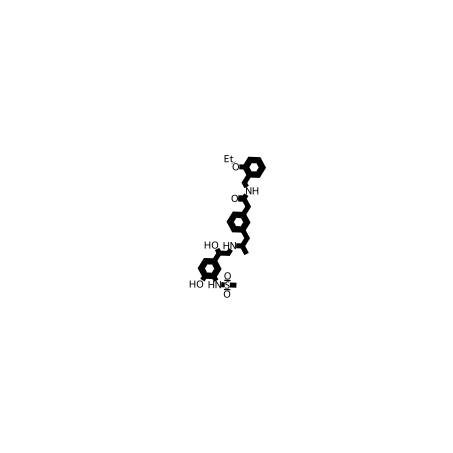 CCOc1ccccc1CNC(=O)Cc1cccc(CC(C)NCC(O)c2ccc(O)c(NS(C)(=O)=O)c2)c1